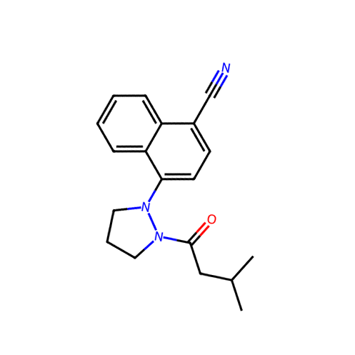 CC(C)CC(=O)N1CCCN1c1ccc(C#N)c2ccccc12